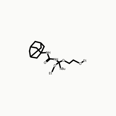 CCCCC(NC(=O)NC12CC3CC(CC(C3)C1)C2)(OCC)OCCOCC